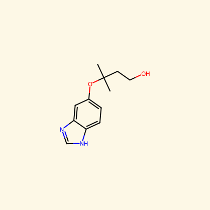 CC(C)(CCO)Oc1ccc2[nH]cnc2c1